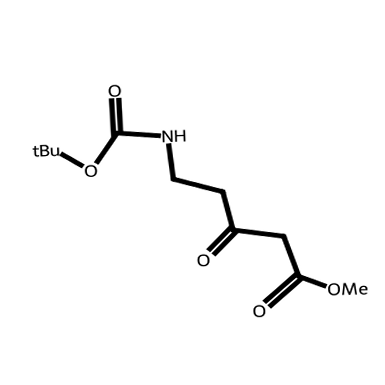 COC(=O)CC(=O)CCNC(=O)OC(C)(C)C